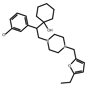 CCc1ccc(CN2CCN(CC(c3cccc(Cl)c3)C3(O)CCCCC3)CC2)o1